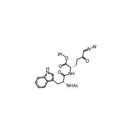 CC(=O)N[C@H](Cc1c[nH]c2ccccc12)C(=O)N[C@@H](CCC(=O)C=[N+]=[N-])C(=O)OC(C)C